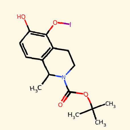 CC1c2ccc(O)c(OI)c2CCN1C(=O)OC(C)(C)C